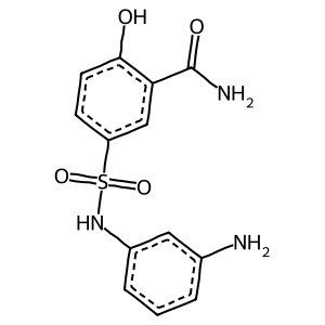 NC(=O)c1cc(S(=O)(=O)Nc2cccc(N)c2)ccc1O